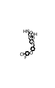 CNC(=O)CN(CC1CCN(Cc2ccc(Oc3ccc(Cl)c(F)c3)cc2)CC1)C(=O)O